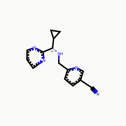 N#Cc1ccc(CN[C@H](c2ncccn2)C2CC2)nc1